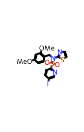 COc1ccc(CN(c2nccs2)S(=O)(=O)c2ccc(I)cn2)c(OC)c1